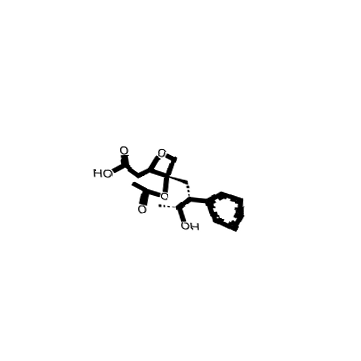 CC(=O)O[C@@]1(C[C@H](c2ccccc2)[C@@H](C)O)COC1CC(=O)O